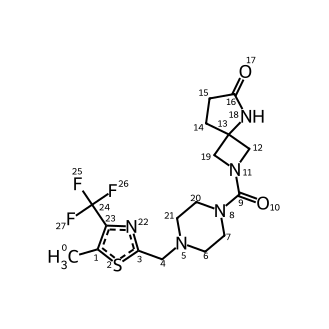 Cc1sc(CN2CCN(C(=O)N3CC4(CCC(=O)N4)C3)CC2)nc1C(F)(F)F